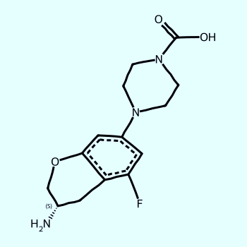 N[C@@H]1COc2cc(N3CCN(C(=O)O)CC3)cc(F)c2C1